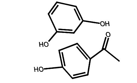 CC(=O)c1ccc(O)cc1.Oc1cccc(O)c1